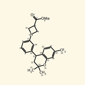 COC(=O)C1CN(c2cccc(C3CC(C)(C)Oc4cc(C(F)(F)F)ccc43)c2)C1